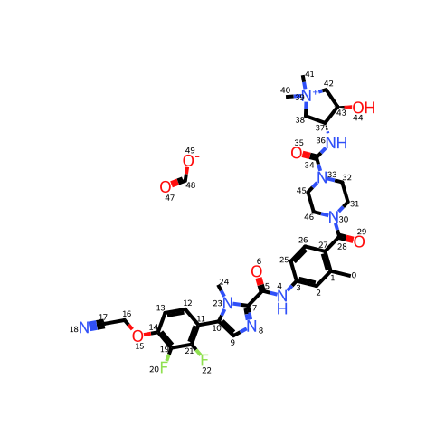 Cc1cc(NC(=O)c2ncc(-c3ccc(OCC#N)c(F)c3F)n2C)ccc1C(=O)N1CCN(C(=O)N[C@@H]2C[N+](C)(C)C[C@H]2O)CC1.O=C[O-]